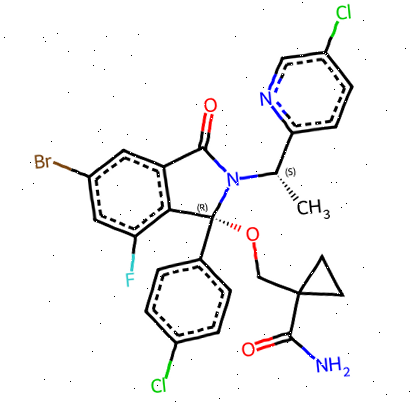 C[C@@H](c1ccc(Cl)cn1)N1C(=O)c2cc(Br)cc(F)c2[C@]1(OCC1(C(N)=O)CC1)c1ccc(Cl)cc1